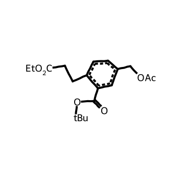 CCOC(=O)CCc1ccc(COC(C)=O)cc1C(=O)OC(C)(C)C